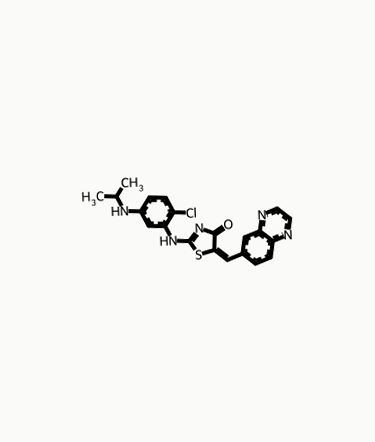 CC(C)Nc1ccc(Cl)c(NC2=NC(=O)C(=Cc3ccc4nccnc4c3)S2)c1